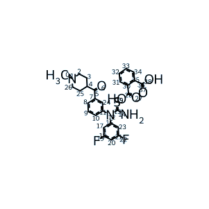 CN1CCC(C(=O)c2cccc(N(C(N)=S)c3cc(F)cc(F)c3)c2)CC1.O=C(O)c1ccccc1C(=O)O